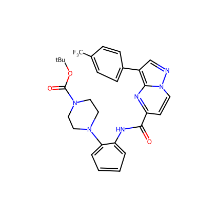 CC(C)(C)OC(=O)N1CCN(c2ccccc2NC(=O)c2ccn3ncc(-c4ccc(C(F)(F)F)cc4)c3n2)CC1